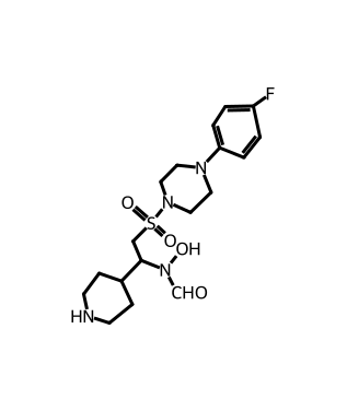 O=CN(O)C(CS(=O)(=O)N1CCN(c2ccc(F)cc2)CC1)C1CCNCC1